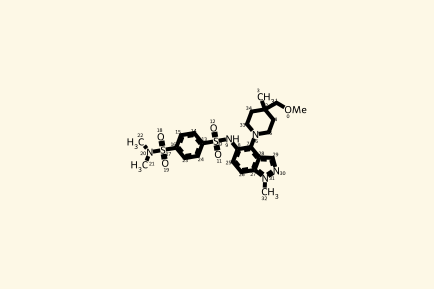 COCC1(C)CCN(c2c(NS(=O)(=O)c3ccc(S(=O)(=O)N(C)C)cc3)ccc3c2cnn3C)CC1